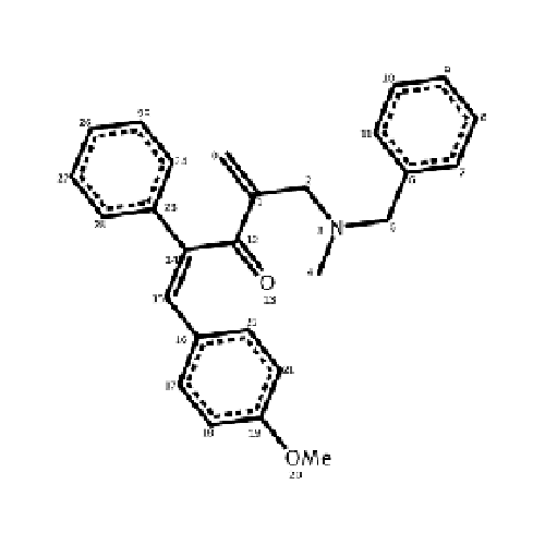 C=C(CN(C)Cc1ccccc1)C(=O)/C(=C\c1ccc(OC)cc1)c1ccccc1